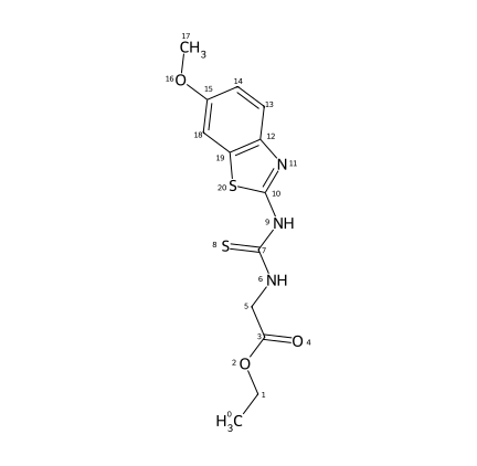 CCOC(=O)CNC(=S)Nc1nc2ccc(OC)cc2s1